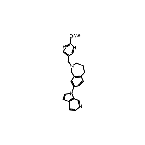 COc1ncc(CN2CCCc3ccc(-n4ccc5ccncc54)cc3C2)cn1